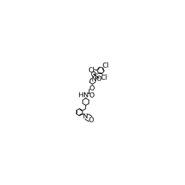 O=C(COC1CCN(S(=O)(=O)c2c(Cl)cc(Cl)cc2Cl)C1)NC1CCC(Cc2ccccc2N2CCOCC2)CC1